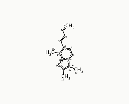 C=CC=Cc1ccc2c(sc(C)[n+]2C)c1C